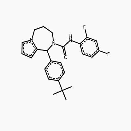 CC(C)(C)c1ccc(C2c3cccn3CCCN2C(=O)Nc2ccc(F)cc2F)cc1